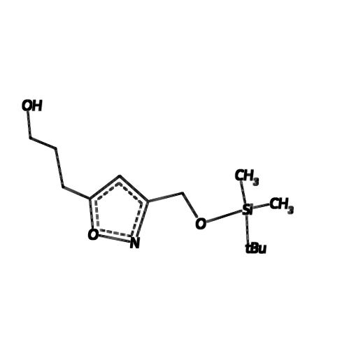 CC(C)(C)[Si](C)(C)OCc1cc(CCCO)on1